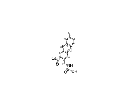 Cc1ccc(Oc2ccc([N+](=O)[O-])c(CNC(=O)O)c2)c(F)c1